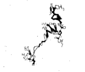 CC(=O)O[C@@H]1C[C@@H](C(=O)NCc2ccc(-c3scnc3C)cc2)N(C(=O)C(NC(=O)COCCOCCOP(OCCC#N)N(C(C)C)C(C)C)C(C)(C)C)C1